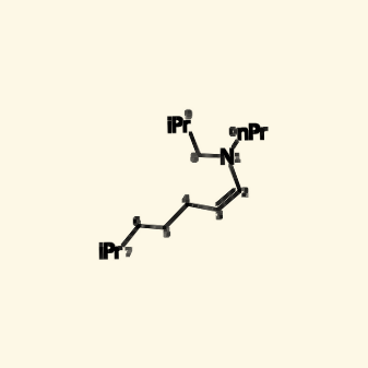 CCCN(/C=C\CCCC(C)C)CC(C)C